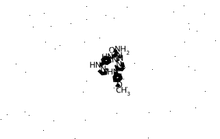 CCOc1ccc(N[C@@H]2CCCN(c3nnc(C(N)=O)c(Nc4ccc(C(=N)N5CCCC5)cc4)n3)C2)cc1